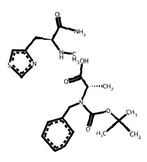 CN[C@@H](Cc1cscn1)C(N)=O.C[C@@H](C(=O)O)N(Cc1ccccc1)C(=O)OC(C)(C)C